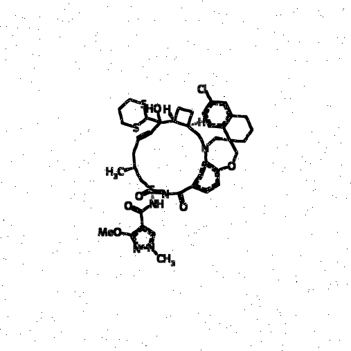 COc1nn(C)cc1C(=O)N[S@@]1(=O)=NC(=O)c2ccc3c(c2)N(C[C@@H]2CC[C@H]2C(O)(C2SCCCS2)/C=C/C[C@H](C)C1)C[C@@]1(CCCc2cc(Cl)ccc21)CO3